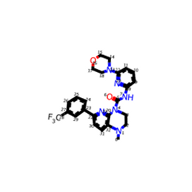 CN1CCN(C(=O)Nc2cccc(N3CCOCC3)n2)c2nc(-c3cccc(C(F)(F)F)c3)ccc21